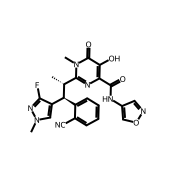 C[C@H](c1nc(C(=O)Nc2cnoc2)c(O)c(=O)n1C)[C@@H](c1ccccc1C#N)c1cn(C)nc1F